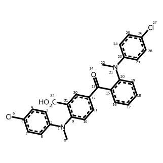 CN(c1ccc(Cl)cc1)c1ccc(C(=O)c2ccccc2N(C)c2ccc(Cl)cc2)cc1C(=O)O